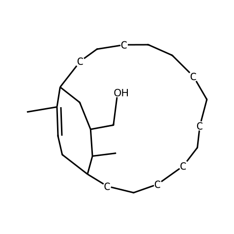 CC1=CCC2CCCCCCCCCCCCCC1CC(CO)C2C